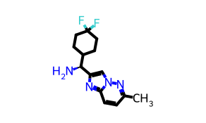 Cc1ccc2nc([C@@H](N)C3CCC(F)(F)CC3)cn2n1